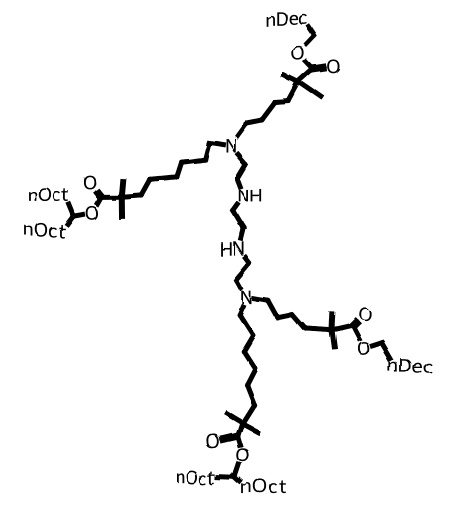 CCCCCCCCCCCOC(=O)C(C)(C)CCCCN(CCCCCCC(C)(C)C(=O)OC(CCCCCCCC)CCCCCCCC)CCNCCNCCN(CCCCCCC(C)(C)C(=O)OC(CCCCCCCC)CCCCCCCC)CCCCC(C)(C)C(=O)OCCCCCCCCCCC